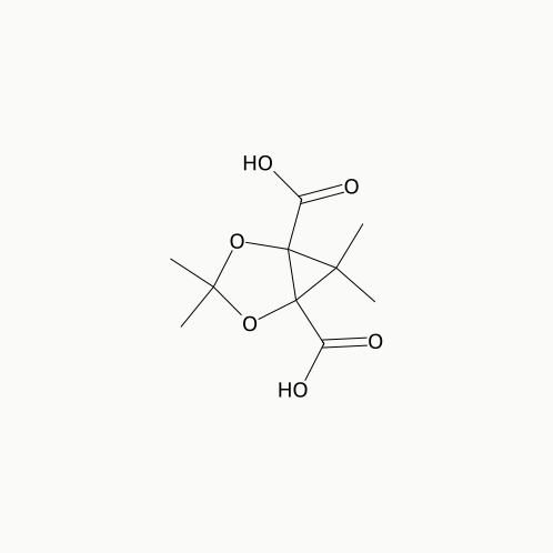 CC1(C)OC2(C(=O)O)C(C)(C)C2(C(=O)O)O1